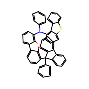 c1ccc(N(c2cccc3c2oc2c(C4(c5ccccc5)c5ccccc5-c5ccccc54)cccc23)c2cccc3sc4ccccc4c23)cc1